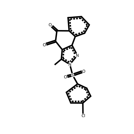 Cc1c2c(nn1S(=O)(=O)c1ccc(Cl)cc1)-c1ccccc1C(=O)C2=O